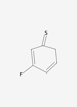 FC1=CC(=S)CC=[C]1